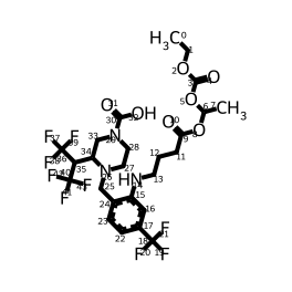 CCOC(=O)OC(C)OC(=O)CCCNc1cc(C(F)(F)F)ccc1CN1CCN(C(=O)O)CC1C(C(F)(F)F)C(F)(F)F